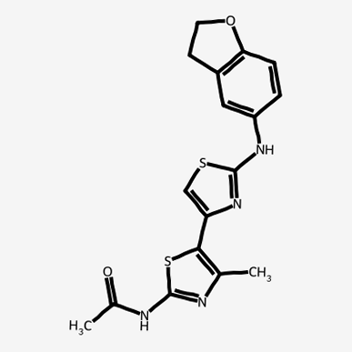 CC(=O)Nc1nc(C)c(-c2csc(Nc3ccc4c(c3)CCO4)n2)s1